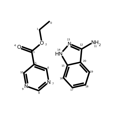 CCOC(=O)c1cncnc1.Nc1n[nH]c2ccccc12